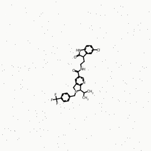 CC(C)C1c2ncc(C(=O)NCCC3C(=O)Nc4ccc(Cl)cc43)cc2CN1Cc1ccc(C(F)(F)F)cc1